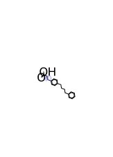 O=C(O)/C=C/c1ccc(CCCCc2ccccc2)cc1